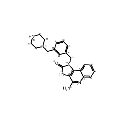 Nc1nc2ccccc2c2c1[nH]c(=O)n2Cc1cccc(CN2CCNCC2)c1